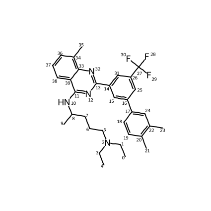 CCN(CC)CCCC(C)Nc1nc(-c2cc(-c3ccc(C)c(C)c3)cc(C(F)(F)F)c2)nc2c(C)cccc12